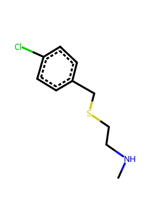 CNCCSCc1ccc(Cl)cc1